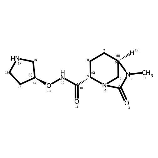 CN1C(=O)N2C[C@H]1CC[C@H]2C(=O)NO[C@H]1CCNC1